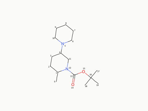 CC1CCC(N2CCCCC2)CN1C(=O)OC(C)(C)C